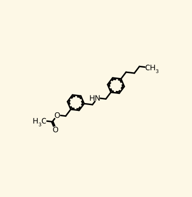 CCCCc1ccc(CNCc2cccc(COC(C)=O)c2)cc1